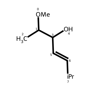 COC(C)C(O)C=CC(C)C